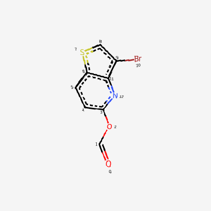 O=COc1ccc2scc(Br)c2n1